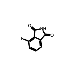 O=C1NC(=O)c2c(F)cccc21